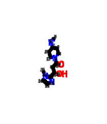 C=NC1CCN(C(=O)C[C@H](O)c2nccn2C)CC1